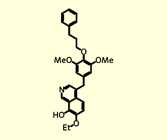 CCOc1ccc2c(Cc3cc(OC)c(OCCCc4ccccc4)c(OC)c3)cncc2c1O